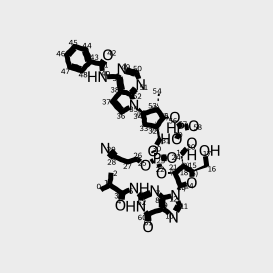 CC(C)C(=O)Nc1nc2c(ncn2[C@@H]2O[C@H](CO)[C@@H](CO)[C@H]2OP(=O)(OCCC#N)OC[C@H]2C[C@@H](n3ccc4c(NC(=O)c5ccccc5)ncnc43)[C@H](C)[C@@H]2O[PH](=O)O)c(=O)[nH]1